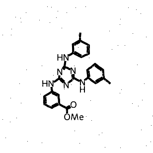 COC(=O)c1cccc(Nc2nc(Nc3cccc(C)c3)nc(Nc3cccc(C)c3)n2)c1